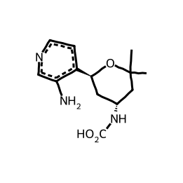 CC1(C)C[C@H](NC(=O)O)C[C@@H](c2ccncc2N)O1